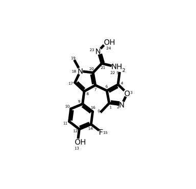 Cc1noc(C)c1-c1c(-c2ccc(O)c(F)c2)cn(C)c1/C(N)=N/O